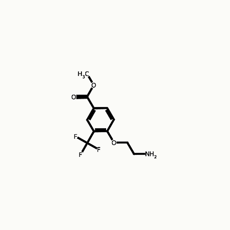 COC(=O)c1ccc(OCCN)c(C(F)(F)F)c1